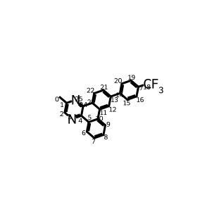 Cc1cnc2c3ccccc3c3cc(-c4ccc(C(F)(F)F)cc4)ccc3c2n1